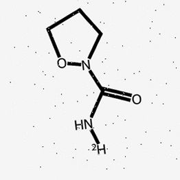 [2H]NC(=O)N1CCCO1